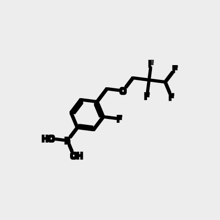 OB(O)c1ccc(COCC(F)(F)C(F)F)c(F)c1